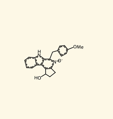 COc1ccc(Cc2c3[nH]c4ccccc4c3c3c([n+]2[O-])CCC3O)cc1